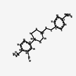 Nc1ccc(CCN2CCN(c3ccc(N)c(F)c3)CC2)cc1